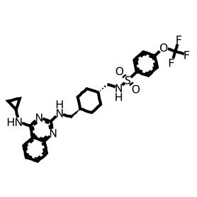 O=S(=O)(NC[C@H]1CC[C@H](CNc2nc(NC3CC3)c3ccccc3n2)CC1)c1ccc(OC(F)(F)F)cc1